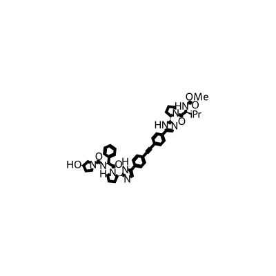 COC(=O)N[C@H](C(=O)N1CCC[C@H]1c1ncc(-c2ccc(C#Cc3ccc(-c4cnc([C@@H]5CCCN5C(=O)[C@H](NC(=O)N5CC[C@H](O)C5)c5ccccc5)[nH]4)cc3)cc2)[nH]1)C(C)C